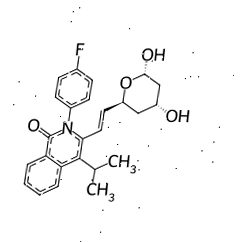 CC(C)c1c(C=C[C@@H]2C[C@@H](O)C[C@@H](O)O2)n(-c2ccc(F)cc2)c(=O)c2ccccc12